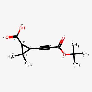 CC(C)(C)OC(=O)C#CC1C(C(=O)O)C1(C)C